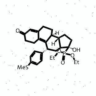 CCOP(=O)(OCC)[C@]1(O)CC[C@H]2[C@@H]3CCC4=CC(=O)CCC4=C3[C@@H](c3ccc(SC)cc3)C[C@@]21C